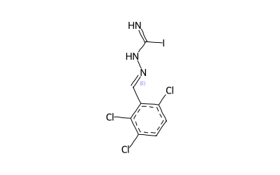 N=C(I)N/N=C/c1c(Cl)ccc(Cl)c1Cl